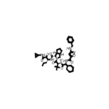 CCC[C@H](NC(=O)[C@@H]1[C@H]2CCC[C@H]2CN1C(=O)[C@@H](NC(=O)[C@@H](NC(=O)c1cc(NCc2ccccc2)no1)C1CCCCC1)C(C)(C)C)C(=O)C(=O)NC1CC1